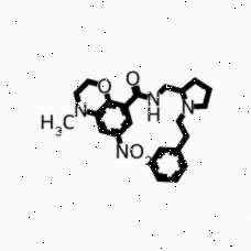 CN1CCOc2c(C(=O)NCC3CCCN3CCc3ccccc3)cc([N+](=O)[O-])cc21